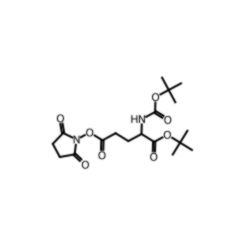 CC(C)(C)OC(=O)NC(CCC(=O)ON1C(=O)CCC1=O)C(=O)OC(C)(C)C